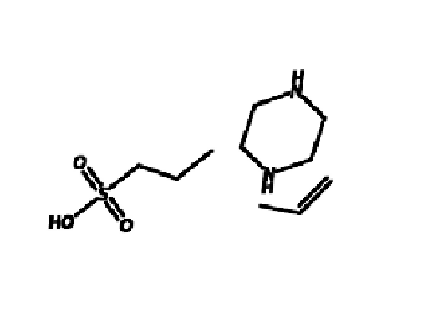 C1CNCCN1.C=CC.CCCS(=O)(=O)O